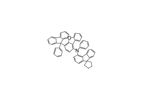 c1ccc(N(c2cccc3c2-c2ccccc2C32CCCC2)c2ccc(C3(c4ccccc4)c4ccccc4-c4ccccc43)c3oc4ccccc4c23)cc1